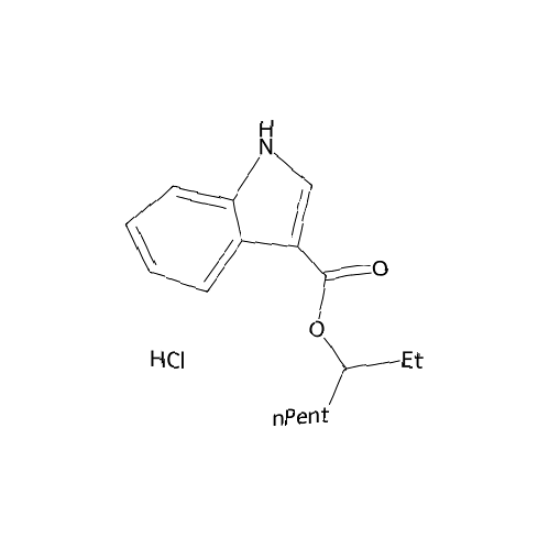 CCCCCC(CC)OC(=O)c1c[nH]c2ccccc12.Cl